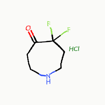 Cl.O=C1CCNCCC1(F)F